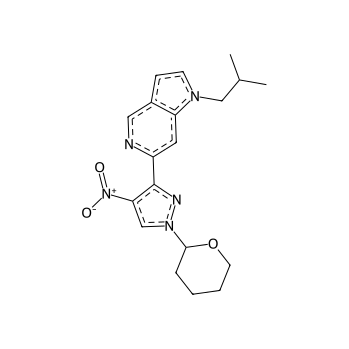 CC(C)Cn1ccc2cnc(-c3nn(C4CCCCO4)cc3[N+](=O)[O-])cc21